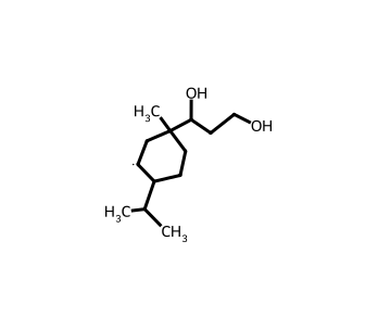 CC(C)C1[CH]CC(C)(C(O)CCO)CC1